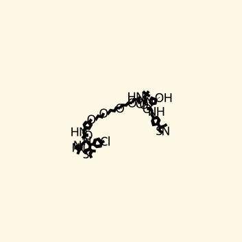 Cc1ncsc1-c1ccc(CNC(=O)[C@@H]2C[C@@H](O)CN2C(=O)[C@@H](NC(=O)COCCCOCCCCOCCCOc2ccc(NC(=O)C[C@@H]3N=C(c4ccc(Cl)cc4)c4c(sc(C)c4C)-n4c(C)nnc43)cc2)C(C)(C)C)cc1